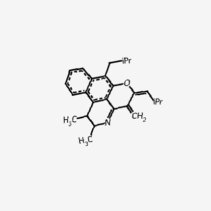 C=C1C2=NC(C)C(C)c3c2c(c(CC(C)C)c2ccccc32)O/C1=C/C(C)C